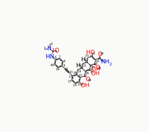 CN(C)C(=O)Nc1ccc(C#Cc2ccc(O)c3c2C[C@H]2C[C@H]4CC(O)=C(C(N)=O)C(=O)[C@@]4(O)C(O)=C2C3=O)cc1